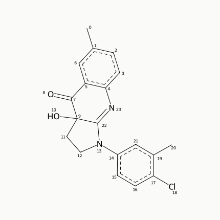 Cc1ccc2c(c1)C(=O)C1(O)CCN(c3ccc(Cl)c(C)c3)C1=N2